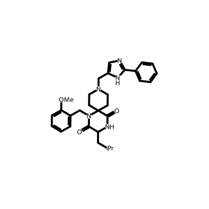 COc1ccccc1CN1C(=O)C(CC(C)C)NC(=O)C12CCN(Cc1cnc(-c3ccccc3)[nH]1)CC2